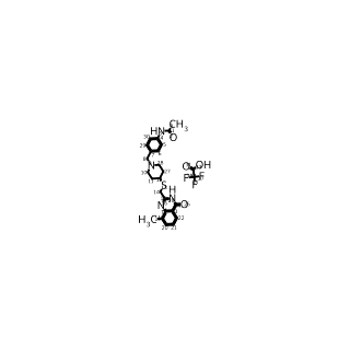 CC(=O)Nc1ccc(CN2CCC(SCc3nc4c(C)cccc4c(=O)[nH]3)CC2)cc1.O=C(O)C(F)(F)F